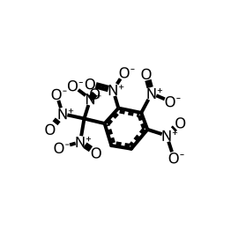 O=[N+]([O-])c1ccc(C([N+](=O)[O-])([N+](=O)[O-])[N+](=O)[O-])c([N+](=O)[O-])c1[N+](=O)[O-]